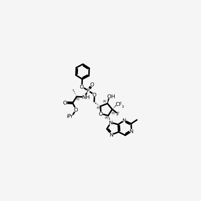 Cc1ncc2ncn([C@@H]3O[C@H](COP(=O)(N[C@@H](C)C(=O)OC(C)C)Oc4ccccc4)[C@@H](O)[C@]3(F)C(F)(F)F)c2n1